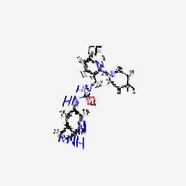 CC1CCN(c2nc(C(F)(F)F)ccc2CNC(=O)Nc2cnc3[nH]ncc3c2)CC1